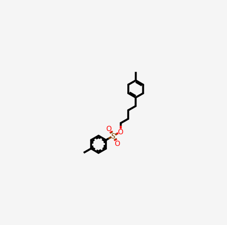 CC1=CCC(CCCCOS(=O)(=O)c2ccc(C)cc2)=CC1